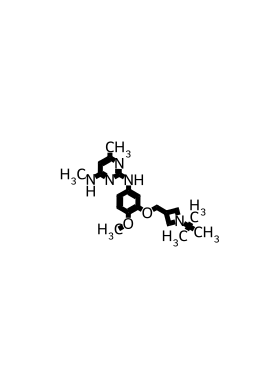 CNc1cc(C)nc(Nc2ccc(OC)c(OCC3CN(C(C)(C)C)C3)c2)n1